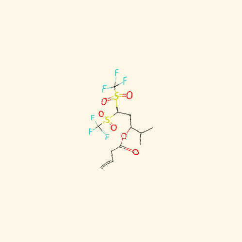 C=CCC(=O)OC(CC(S(=O)(=O)C(F)(F)F)S(=O)(=O)C(F)(F)F)C(C)C